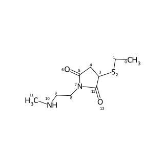 CCSC1CC(=O)N(CCNC)C1=O